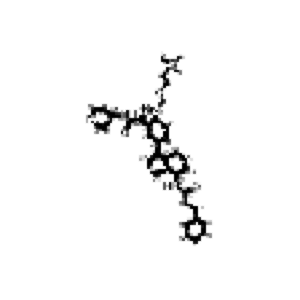 C[Si](C)(C)CCOCn1nc(C(=O)Nc2ccncc2)c2cc(-c3cncc4c(NC(=O)CCc5ccccc5)cccc34)ccc21